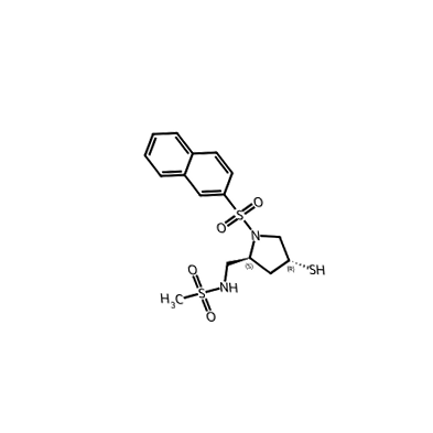 CS(=O)(=O)NC[C@@H]1C[C@@H](S)CN1S(=O)(=O)c1ccc2ccccc2c1